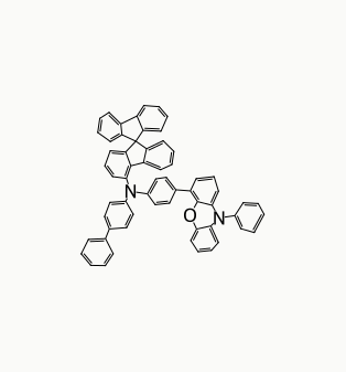 c1ccc(-c2ccc(N(c3ccc(-c4cccc5c4Oc4ccccc4N5c4ccccc4)cc3)c3cccc4c3-c3ccccc3C43c4ccccc4-c4ccccc43)cc2)cc1